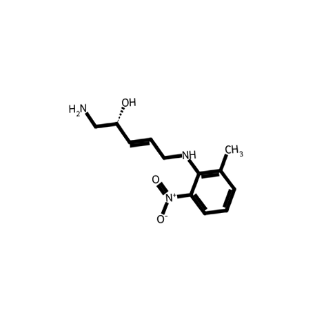 Cc1cccc([N+](=O)[O-])c1NC/C=C/[C@@H](O)CN